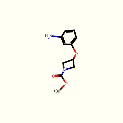 CC(C)(C)OC(=O)N1CC(Oc2cccc(N)c2)C1